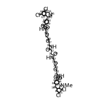 CNCc1c(Cl)cc(Cl)cc1[C@@H](C)c1ccc(S(=O)(=O)NCCOCCOCCNC(=O)CCC(=O)NCCOCCOCCNS(=O)(=O)c2ccc([C@@H]3CN(C)Cc4c(Cl)cc(Cl)cc43)cc2)cc1